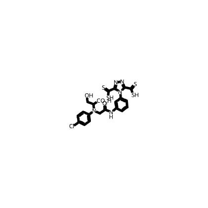 O=C(CN(c1ccc(Cl)cc1)C(CO)C(=O)O)Nc1cccc(-n2c(C(=S)S)nnc2C(=S)S)c1